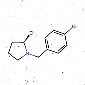 C[C@@H]1CCCN1Cc1ccc(Br)cc1